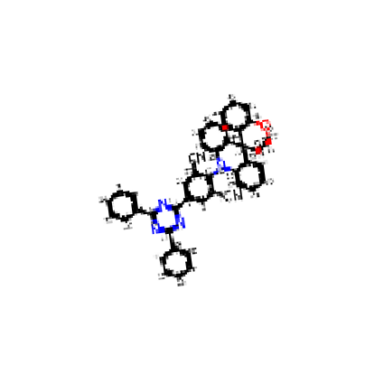 N#Cc1cc(-c2nc(-c3ccccc3)nc(-c3ccccc3)n2)cc(C#N)c1N1c2ccccc2C2(c3ccccc3Oc3ccccc32)c2ccccc21